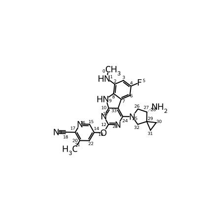 CNc1cc(F)cc2c1[nH]c1nc(Oc3cnc(C#N)c(C)c3)nc(N3C[C@H](N)C4(CC4)C3)c12